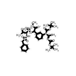 COC(=O)C(OP(=O)(O)[C@@H](NS(=O)(=O)Cc1ccccc1)C(C)C)c1cccc(N(C(=O)OC(C)(C)C)C(N)=NC(=O)OC(C)(C)C)c1